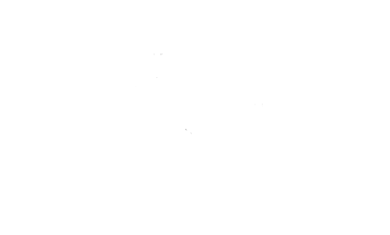 CCON(CCC(=O)O)CC(CC)C(=O)O